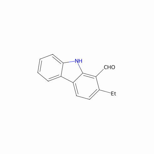 CCc1ccc2c([nH]c3ccccc32)c1C=O